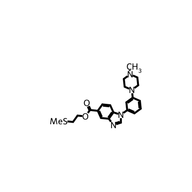 CSCCOC(=O)c1ccc2c(c1)ncn2-c1cccc(N2CCN(C)CC2)c1